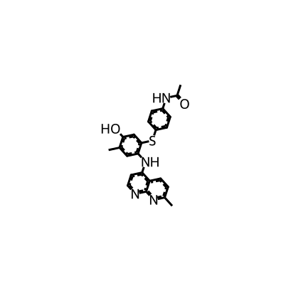 CC(=O)Nc1ccc(Sc2cc(O)c(C)cc2Nc2ccnc3nc(C)ccc23)cc1